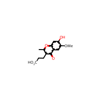 COc1cc2c(=O)c(CCC(=O)O)c(C)oc2cc1O